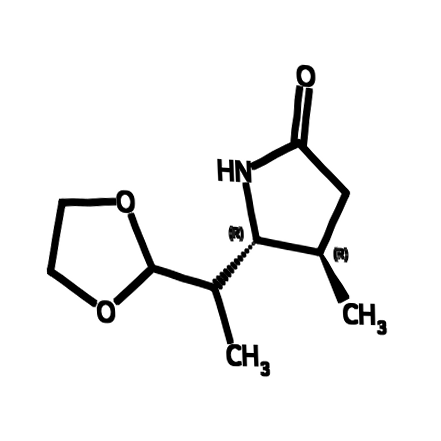 CC(C1OCCO1)[C@@H]1NC(=O)C[C@H]1C